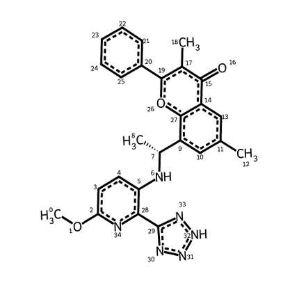 COc1ccc(N[C@H](C)c2cc(C)cc3c(=O)c(C)c(-c4ccccc4)oc23)c(-c2nn[nH]n2)n1